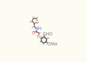 COc1ccc(OCC(=O)NCC2CCCO2)c(C=O)c1